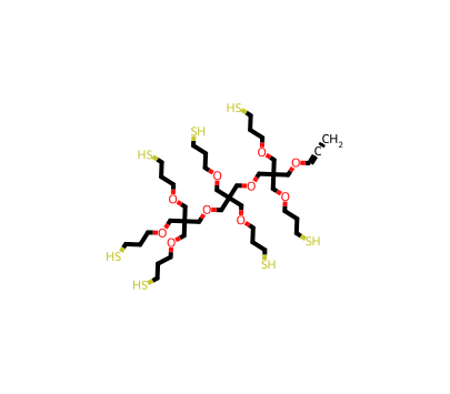 C=C=COCC(COCCCS)(COCCCS)COCC(COCCCS)(COCCCS)COCC(COCCCS)(COCCCS)COCCCS